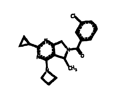 CC1c2c(nc(C3CC3)nc2N2CCC2)CN1C(=O)c1cccc(Cl)c1